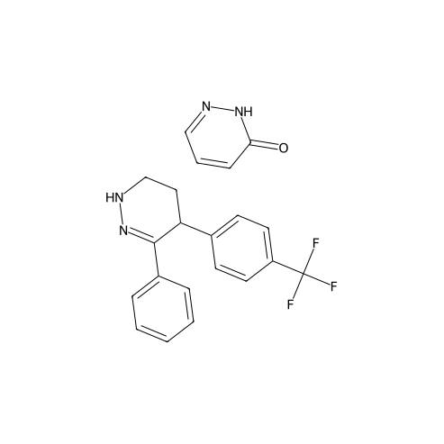 FC(F)(F)c1ccc(C2CCNN=C2c2ccccc2)cc1.O=c1cccn[nH]1